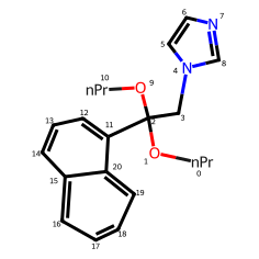 CCCOC(Cn1ccnc1)(OCCC)c1cccc2ccccc12